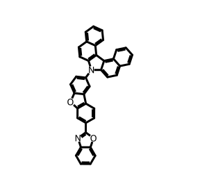 c1ccc2c(c1)ccc1c2c2c3ccccc3ccc2n1-c1ccc2oc3cc(-c4nc5ccccc5o4)ccc3c2c1